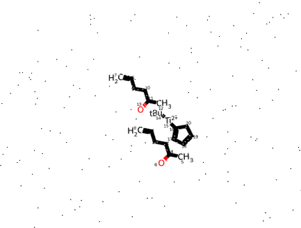 C=CCCC(C)[O-].C=CCCC(C)[O-].C[C](C)(C)[Ti+2][C]1=CC=CC1